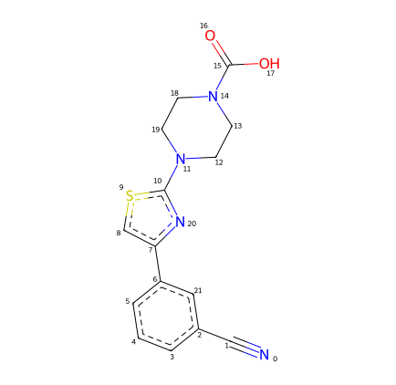 N#Cc1cccc(-c2csc(N3CCN(C(=O)O)CC3)n2)c1